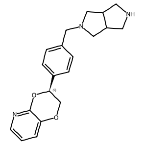 c1cnc2c(c1)OC[C@H](c1ccc(CN3CC4CNCC4C3)cc1)O2